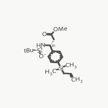 C=CC[Si](C)(C)c1ccc([C@@H](CC(=O)OC)N[S@@+]([O-])C(C)(C)C)cc1